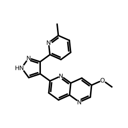 COc1cnc2ccc(-c3c[nH]nc3-c3cccc(C)n3)nc2c1